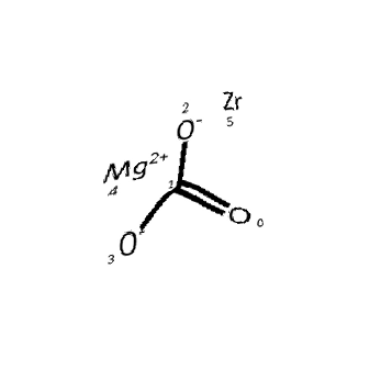 O=C([O-])[O-].[Mg+2].[Zr]